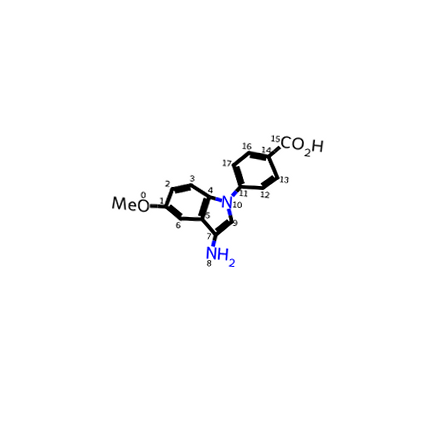 COc1ccc2c(c1)c(N)cn2-c1ccc(C(=O)O)cc1